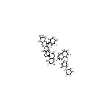 c1ccc(-c2ccc(-c3nc(-c4cc5c6cc(N(c7ccccc7)c7ccccc7)ccc6oc5c5ccccc45)nc4ccccc34)cc2)cc1